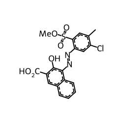 COS(=O)(=O)c1cc(C)c(Cl)cc1/N=N/c1c(O)c(C(=O)O)cc2ccccc12